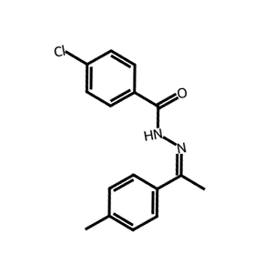 CC(=NNC(=O)c1ccc(Cl)cc1)c1ccc(C)cc1